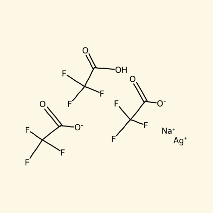 O=C(O)C(F)(F)F.O=C([O-])C(F)(F)F.O=C([O-])C(F)(F)F.[Ag+].[Na+]